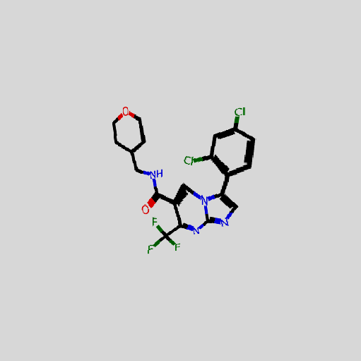 O=C(NCC1CCOCC1)c1cn2c(-c3ccc(Cl)cc3Cl)cnc2nc1C(F)(F)F